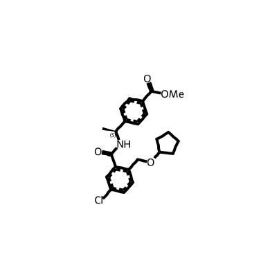 COC(=O)c1ccc([C@H](C)NC(=O)c2cc(Cl)ccc2COC2CCCC2)cc1